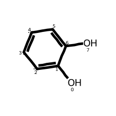 Oc1[c][c][c]cc1O